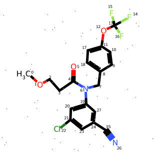 COCCC(=O)N(Cc1ccc(OC(F)(F)F)cc1)c1cc(Cl)cc(C#N)c1